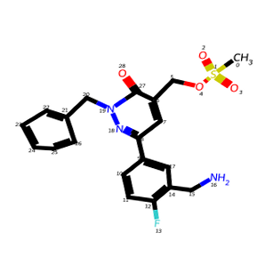 CS(=O)(=O)OCc1cc(-c2ccc(F)c(CN)c2)nn(Cc2ccccc2)c1=O